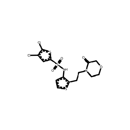 O=C1COCCN1CCc1sccc1NS(=O)(=O)c1cc(Cl)c(Cl)s1